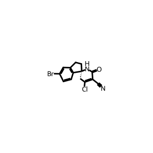 N#CC1=C(Cl)C[C@]2(CCc3cc(Br)ccc32)NC1=O